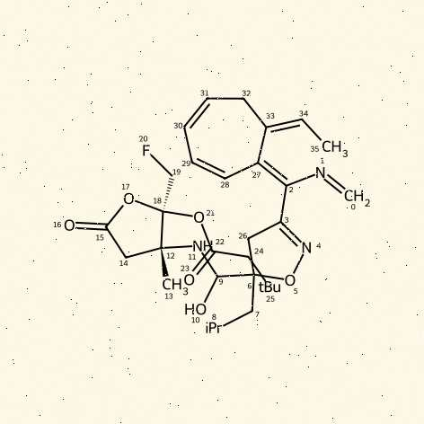 C=N/C(C1=NOC(CC(C)C)(C(O)N[C@]2(C)CC(=O)O[C@@]2(CF)OC(=O)CC(C)(C)C)C1)=C1/C=CC=CC/C1=C/C